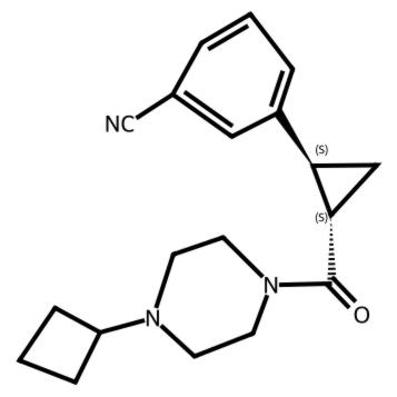 N#Cc1cccc([C@H]2C[C@@H]2C(=O)N2CCN(C3CCC3)CC2)c1